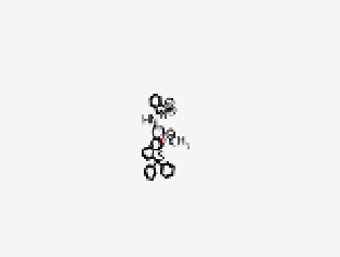 COC(=O)C[C@H](Cc1ccc(SC(c2ccccc2)(c2ccccc2)c2ccccc2)cc1)NC1=NS(=O)(=O)c2ccccc21